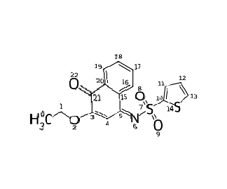 CCOC1=C/C(=N/S(=O)(=O)c2cccs2)c2ccccc2C1=O